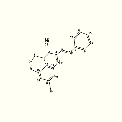 CCCCC(C=Nc1ccccc1)=Nc1cc(C)cc(C)c1.[Ni]